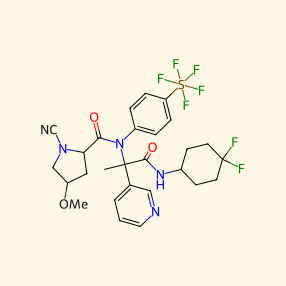 COC1CC(C(=O)N(c2ccc(S(F)(F)(F)(F)F)cc2)C(C)(C(=O)NC2CCC(F)(F)CC2)c2cccnc2)N(C#N)C1